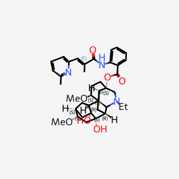 CCN1C[C@]2(OC(=O)c3ccccc3NC(=O)/C(C)=C/c3cccc(C)n3)CC[C@H](OC)[C@]34C1[C@@H](C[C@H]23)[C@@]1(O)C[C@H](OC)[C@H]2C[C@@H]4[C@]1(O)C2